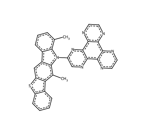 Cc1cccc2c3cc4sc5ccccc5c4c(C)c3n(-c3cnc4c5nccnc5c5nccnc5c4n3)c12